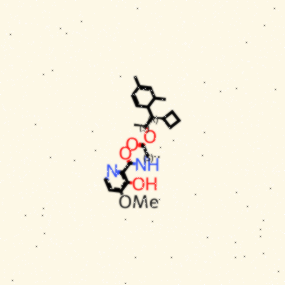 COc1ccnc(C(=O)N[C@@H](C)C(=O)O[C@@H](C)[C@H](C2CCC2)C2C=CC(C)=CC2C)c1O